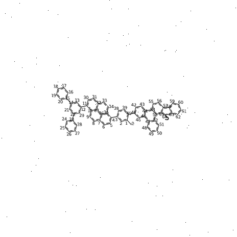 Cc1cc(-c2ccc3ccc4c(-c5cc(-c6ccccc6)cc(-c6ccccc6)c5)ccc5ccc2c3c54)ccc1-c1ccc2c(c1)c1ccccc1c1c2ccc2c3ccccc3sc21